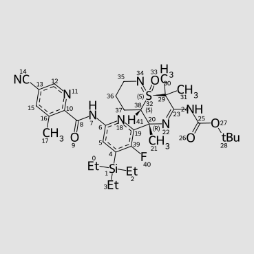 CC[Si](CC)(CC)c1cc(NC(=O)c2ncc(C#N)cc2C)nc([C@@]2(C)N=C(NC(=O)OC(C)(C)C)C(C)(C)[S@]3(=O)=NCCC[C@@H]23)c1F